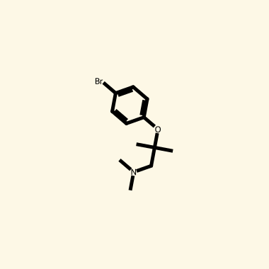 CN(C)CC(C)(C)Oc1ccc(Br)cc1